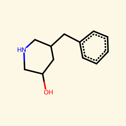 OC1CNCC(Cc2ccccc2)C1